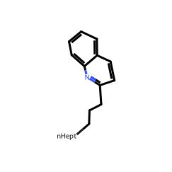 CCCCCCCCCCc1ccc2ccccc2n1